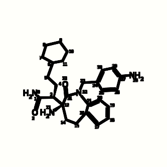 NC(=O)[C@@H](CCC1CCCCC1)[C@@]1(N)CCc2ccccc2N(Cc2ccc(N)cc2)C1=O